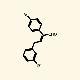 O=CC(=CCc1cccc(Br)c1)c1ccc(Br)cc1